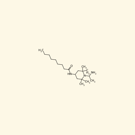 CCCCCCCCC(=O)NC1CC(C)(C)N(C(C)N)C(C)(C)C1